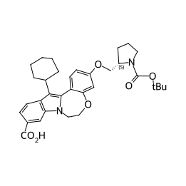 CC(C)(C)OC(=O)N1CCC[C@H]1COc1ccc2c(c1)OCCn1c-2c(C2CCCCC2)c2ccc(C(=O)O)cc21